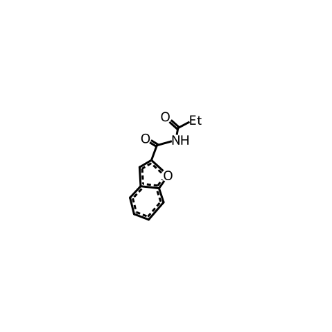 CCC(=O)NC(=O)c1cc2ccccc2o1